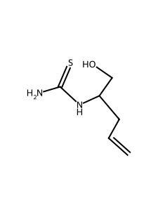 C=CCC(CO)NC(N)=S